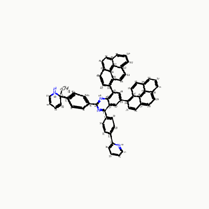 C[C@@]1(c2ccc(-c3nc(-c4ccc(-c5ccccn5)cc4)c4cc(-c5ccc6ccc7cccc8ccc5c6c78)cc(-c5ccc6ccc7cccc8ccc5c6c78)c4n3)cc2)C=CC=CN1